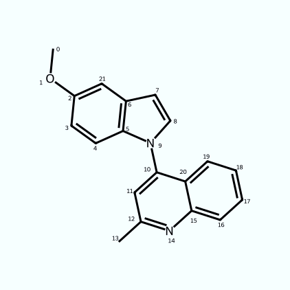 COc1ccc2c(ccn2-c2cc(C)nc3ccccc23)c1